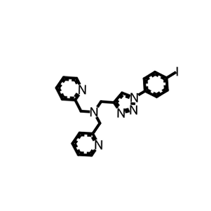 Ic1ccc(-n2cc(CN(Cc3ccccn3)Cc3ccccn3)nn2)cc1